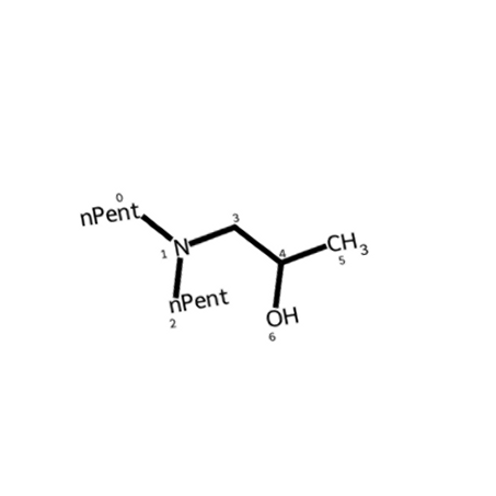 CCCCCN(CCCCC)CC(C)O